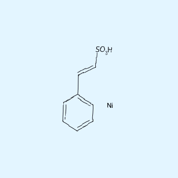 O=S(=O)(O)C=Cc1ccccc1.[Ni]